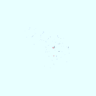 Cc1nnc(C(=O)N2C3CCC2CC(c2nc4c(-c5ccc(-c6ccccc6F)nc5)cnn4c(N)c2S(C)(=O)=O)C3)[nH]1